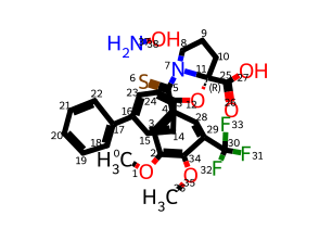 COc1cc(C(=S)N2CCC[C@@]2(Oc2ccc(-c3ccccc3)cc2)C(=O)O)cc(C(F)(F)F)c1OC.NO